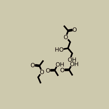 CC(=O)O.CC(=O)O.CC(=O)OCC(O)CO.CCOC(C)=O